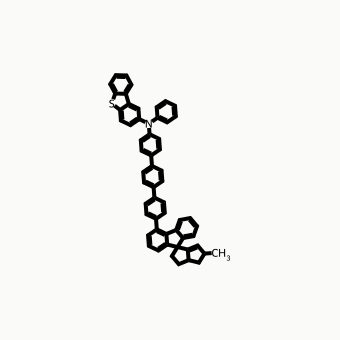 CC1C=C2C(CCC23c2ccccc2-c2c(-c4ccc(-c5ccc(-c6ccc(N(c7ccccc7)c7ccc8sc9ccccc9c8c7)cc6)cc5)cc4)cccc23)C1